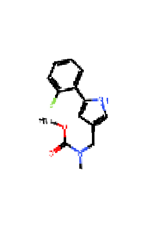 CN(Cc1c[nH]c(-c2ccccc2F)c1)C(=O)OC(C)(C)C